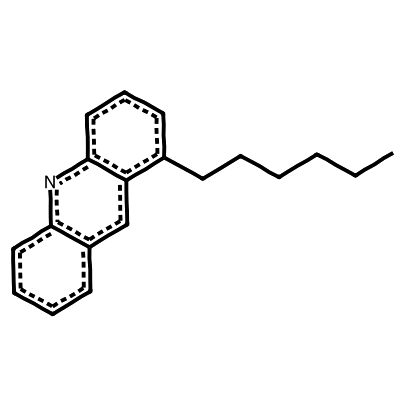 CCCCCCc1cccc2nc3ccccc3cc12